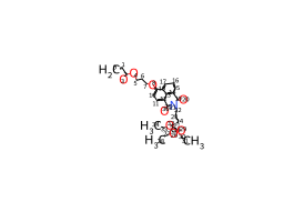 C=CC(=O)OCCCOc1ccc2c3c(cccc13)C(=O)N(CCC[Si](OCC)(OCC)OCC)C2=O